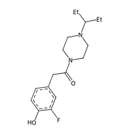 CCC(CC)N1CCN(C(=O)Cc2ccc(O)c(F)c2)CC1